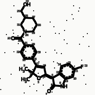 CC1(C)OC(=C2C(=O)Nc3cc(F)ccc32)C=C1c1ccc(C(=O)N2CCCC(CO)C2)cc1